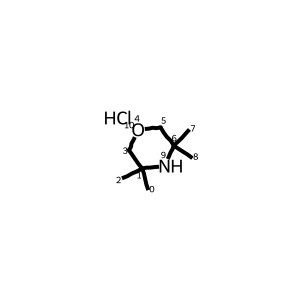 CC1(C)COCC(C)(C)N1.Cl